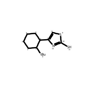 CC(C)(C)C1CCCCC1c1csc(S)n1